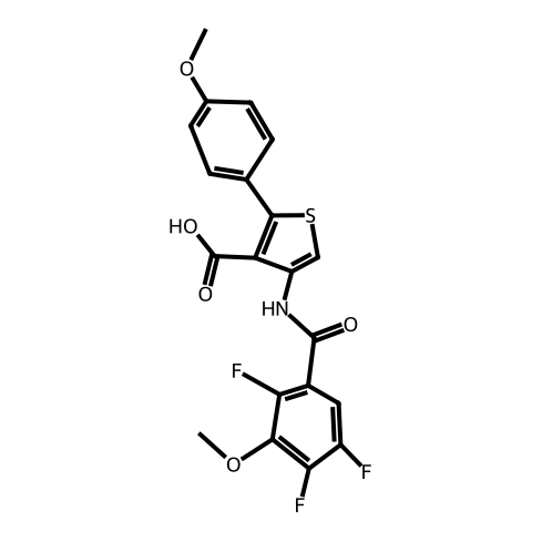 COc1ccc(-c2scc(NC(=O)c3cc(F)c(F)c(OC)c3F)c2C(=O)O)cc1